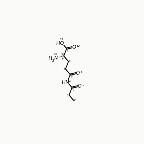 CCC(=O)NC(=O)CC[C@H](N)C(=O)O